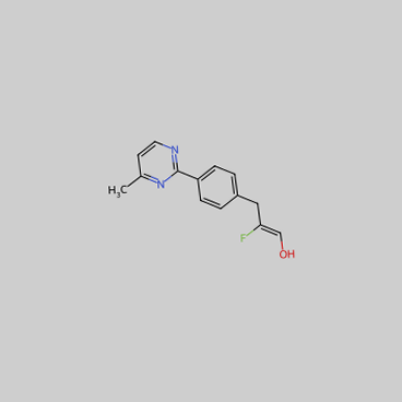 Cc1ccnc(-c2ccc(C/C(F)=C/O)cc2)n1